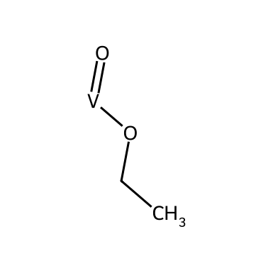 CC[O][V]=[O]